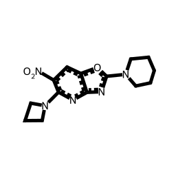 O=[N+]([O-])c1cc2oc(N3CCCCC3)nc2nc1N1CCC1